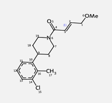 COC/C=C/C(=O)N1CCC(c2cccc(Cl)c2C)CC1